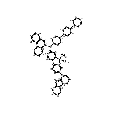 CC1(C)c2cc(-c3cccc4c3oc3ccccc34)ccc2-c2ccc(C(c3ccc(-c4ccc(-c5ccccc5)cc4)cc3)c3cc4ccccc4c4ccccc34)cc21